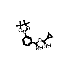 CC1(C)OB(c2cccc(C(=N)OC(=N)C3CC3)c2)OC1(C)C